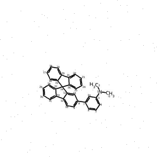 CN(C)c1cccc(-c2ccc3c(c2)C2(c4ccccc4-c4ccccc42)c2ccccc2-3)c1